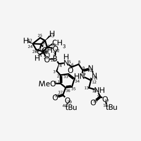 COc1c(C[C@H](NC(=O)Cc2nnc(CNC(=O)OC(C)(C)C)[nH]2)B2O[C@@H]3C[C@@H]4C[C@@H](C4(C)C)[C@]3(C)O2)cccc1C(=O)OC(C)(C)C